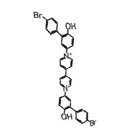 Oc1ccc(-[n+]2ccc(-c3cc[n+](-c4ccc(O)c(-c5ccc(Br)cc5)c4)cc3)cc2)cc1-c1ccc(Br)cc1